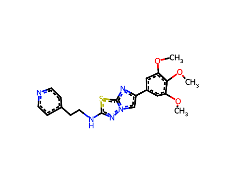 COc1cc(-c2cn3nc(NCCc4ccncc4)sc3n2)cc(OC)c1OC